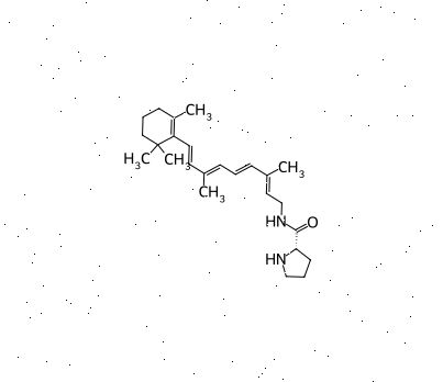 CC(C=CC1=C(C)CCCC1(C)C)=CC=CC(C)=CCNC(=O)[C@@H]1CCCN1